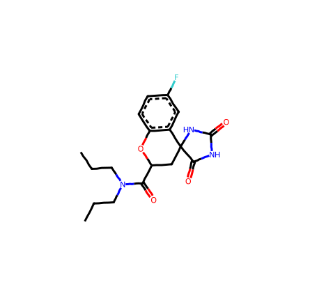 CCCN(CCC)C(=O)C1CC2(NC(=O)NC2=O)c2cc(F)ccc2O1